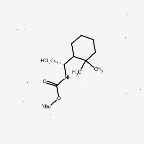 CC(C)(C)OC(=O)N[C@H](C(=O)O)C1CCCCC1(C)C